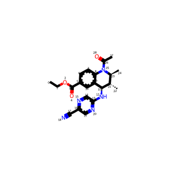 CCOC(=O)c1ccc2c(c1)[C@H](Nc1cnc(C#N)cn1)[C@@H](C)[C@H](C)N2C(C)=O